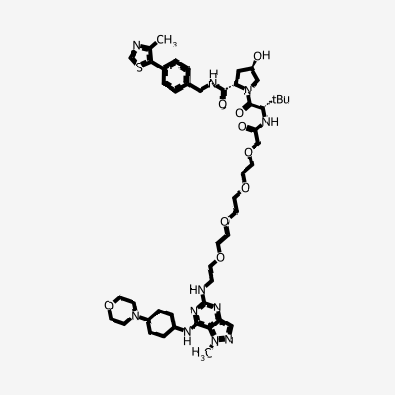 Cc1ncsc1-c1ccc(CNC(=O)[C@@H]2C[C@@H](O)CN2C(=O)[C@@H](NC(=O)COCCOCCOCCOCCNc2nc(NC3CCC(N4CCOCC4)CC3)c3c(cnn3C)n2)C(C)(C)C)cc1